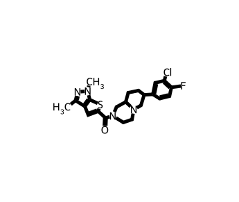 Cc1nn(C)c2sc(C(=O)N3CCN4CC(c5ccc(F)c(Cl)c5)CCC4C3)cc12